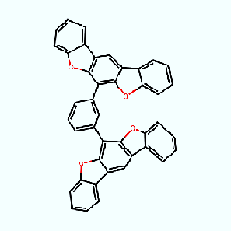 c1cc(-c2c3oc4ccccc4c3cc3c2oc2ccccc23)cc(-c2c3oc4ccccc4c3cc3c2oc2ccccc23)c1